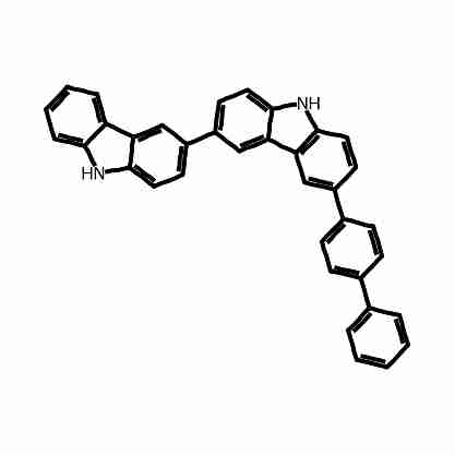 c1ccc(-c2ccc(-c3ccc4[nH]c5ccc(-c6ccc7[nH]c8ccccc8c7c6)cc5c4c3)cc2)cc1